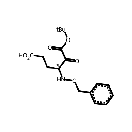 CC(C)(C)OC(=O)C(=O)[C@H](CCC(=O)O)NOCc1ccccc1